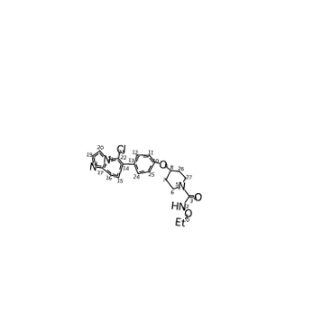 CCONC(=O)N1CCC(Oc2ccc(-c3ccc4nccn4c3Cl)cc2)CC1